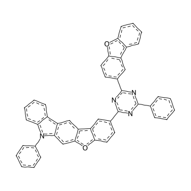 c1ccc(-c2nc(-c3ccc4oc5ccccc5c4c3)nc(-c3ccc4oc5cc6c(cc5c4c3)c3ccccc3n6-c3ccccc3)n2)cc1